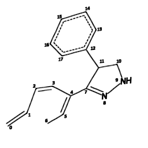 C=C/C=C\C(=C/C)C1=NNCC1c1ccccc1